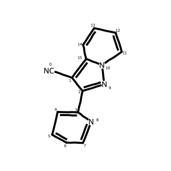 N#Cc1c(-c2ccccn2)nn2ccccc12